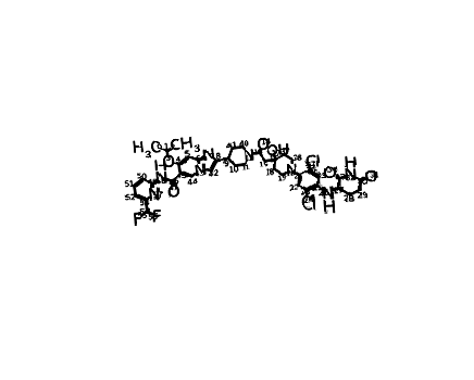 CC(C)Oc1cc2nc(C3CCN(C(=O)CC4(O)CCN(c5cc(Cl)c(NC6CCC(=O)NC6=O)cc5Cl)CC4)CC3)cn2cc1C(=O)Nc1cccc(C(F)F)n1